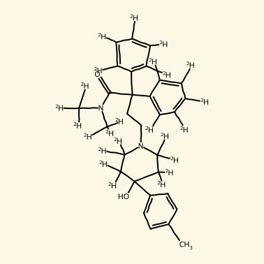 [2H]c1c([2H])c([2H])c(C(CCN2C([2H])([2H])C([2H])([2H])C(O)(c3ccc(C)cc3)C([2H])([2H])C2([2H])[2H])(C(=O)N(C([2H])([2H])[2H])C([2H])([2H])[2H])c2c([2H])c([2H])c([2H])c([2H])c2[2H])c([2H])c1[2H]